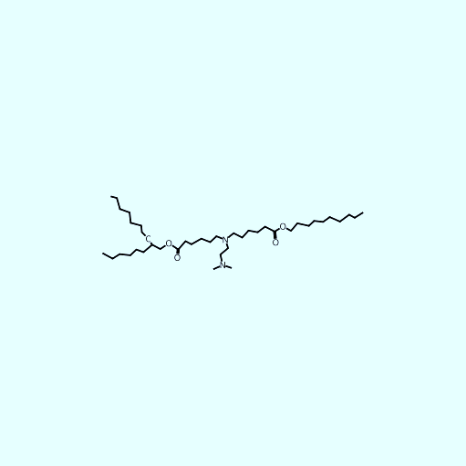 CCCCCCCCCCOC(=O)CCCCCN(CCCCCC(=O)OCC(CCCCCC)CCCCCCCC)CCN(C)C